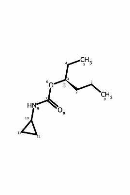 CCC[C@H](CC)OC(=O)NC1CC1